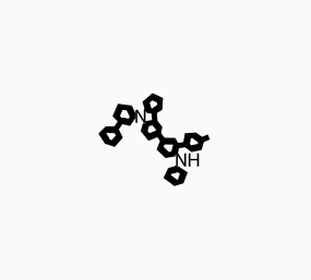 Cc1ccc(-c2cc(-c3ccc4c(c3)c3ccccc3n4-c3cccc(-c4ccccc4)c3)ccc2Nc2ccccc2)cc1